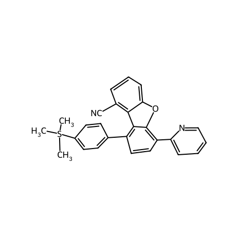 CS(C)(C)c1ccc(-c2ccc(-c3ccccn3)c3oc4cccc(C#N)c4c23)cc1